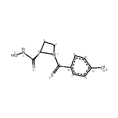 O=C(NO)[C@H]1CCN1C(=S)c1ccc(C(F)(F)F)cc1